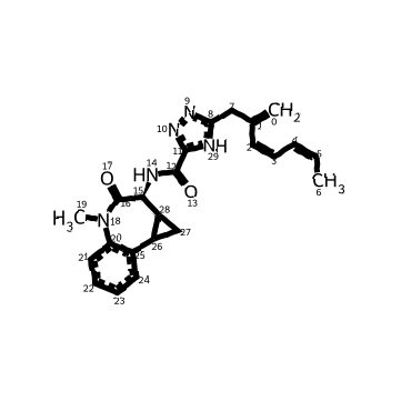 C=C(/C=C\C=C/C)Cc1nnc(C(=O)N[C@@H]2C(=O)N(C)c3ccccc3C3CC32)[nH]1